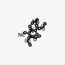 [C-]#[N+]c1ccc(-c2cccc(-c3nc(-c4cc(-c5cccc(C#N)c5)cc(-n5c6ccc(C(=O)OCc7ccccc7)cc6c6cc(C(=O)OCc7ccccc7)ccc65)c4)nc(-c4cc(-c5cccc(C#N)c5)cc(-n5c6ccc(C(=O)OCc7ccccc7)cc6c6cc(C(=O)OCc7ccccc7)ccc65)c4)n3)c2)cc1